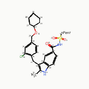 CCCCCS(=O)(=O)NC(=O)c1ccc2[nH]c(C)c(Cc3ccc(COC4CCCCC4)cc3Cl)c2c1